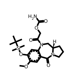 COc1cc2c(cc1O[Si](C)(C)C(C)(C)C)N(C(=O)COC(N)=O)C[C@@H]1CCCN1C2=O